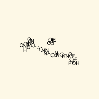 Cn1c(=O)n([C@@H]2CCC(=O)NC2=O)c2ccc(C3CC4(CCN(c5ncc(-c6ccc7cn(C8CCC(CNC(=O)c9cc(F)c(O)c(F)c9F)CC8)nc7c6)cn5)CC4)C3)cc21.O=C(O)C(F)(F)F